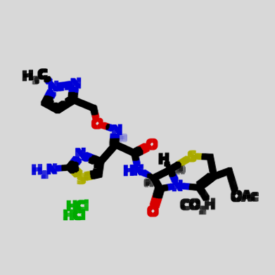 CC(=O)OCC1=C(C(=O)O)N2C(=O)[C@@H](NC(=O)/C(=N/OCc3ccn(C)n3)c3csc(N)n3)[C@H]2SC1.Cl.Cl